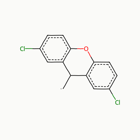 [CH2]C1c2cc(Cl)ccc2Oc2ccc(Cl)cc21